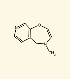 CN1C=COc2cnccc2C1